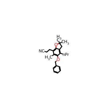 CCCc1c2c(c(CCC#N)c(C)c1OCc1ccccc1)OC(C)(C)C2